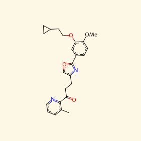 COc1ccc(-c2nc(CCC(=O)c3ncccc3C)co2)cc1OCCC1CC1